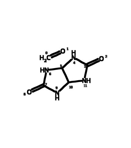 C=O.O=C1NC2NC(=O)NC2N1